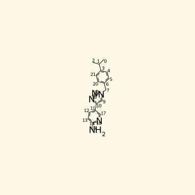 CC(C)c1ccc(Cn2cc(-c3ccc(N)nc3)nn2)cc1